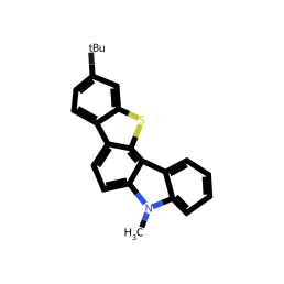 Cn1c2ccccc2c2c3sc4cc(C(C)(C)C)ccc4c3ccc21